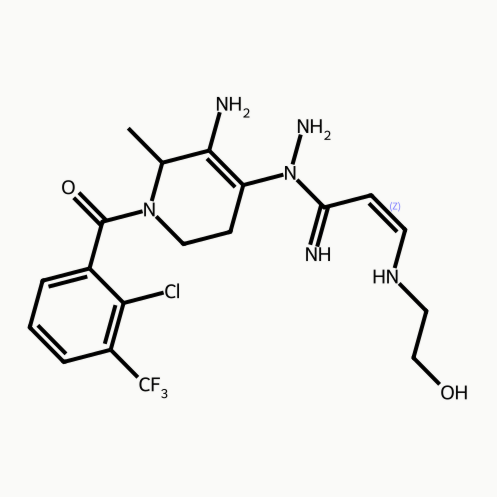 CC1C(N)=C(N(N)C(=N)/C=C\NCCO)CCN1C(=O)c1cccc(C(F)(F)F)c1Cl